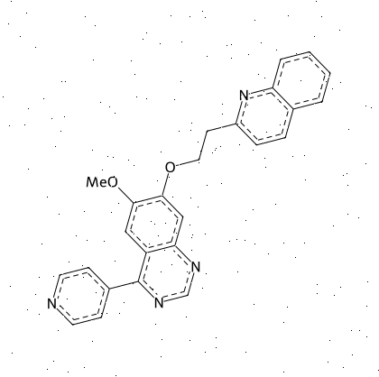 COc1cc2c(-c3ccncc3)ncnc2cc1OCCc1ccc2ccccc2n1